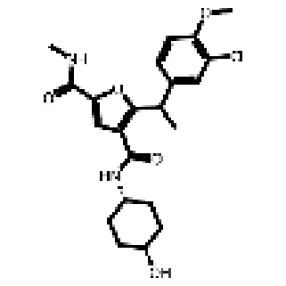 CNC(=O)c1cc(C(=O)N[C@H]2CC[C@H](O)CC2)c(C(C)c2ccc(OC)c(Cl)c2)o1